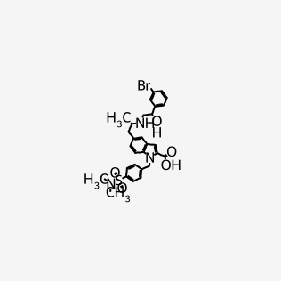 CC(Cc1ccc2c(c1)cc(C(=O)O)n2Cc1ccc(S(=O)(=O)N(C)C)cc1)NCC(O)c1cccc(Br)c1